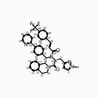 Cn1ccc(C[C@@H](C(=O)N2CCc3ccccc3C2)N(Cc2ccc(-c3ccccn3)cc2)C(=O)C=Cc2ccc(C(F)(F)F)cc2)n1